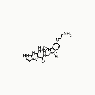 CCn1c(CNC(=O)c2nc3cc[nH]c3nc2N)[n+](CC)c2ccc(OCCN)cc21